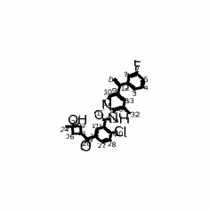 C=C(c1cccc(F)c1)c1cnc(NC(=O)c2cc(C(=O)C3CC(C)(O)C3)ccc2Cl)c(C)c1